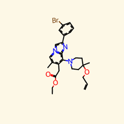 C=CCOC1(C)CCN(c2c(CC(=O)OCC)c(C)cn3cc(-c4cccc(Br)c4)nc23)CC1